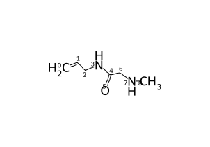 C=CCNC(=O)CNC